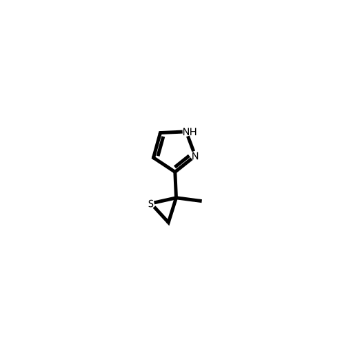 CC1(c2cc[nH]n2)CS1